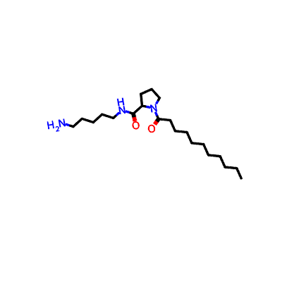 CCCCCCCCCCC(=O)N1CCCC1C(=O)NCCCCCN